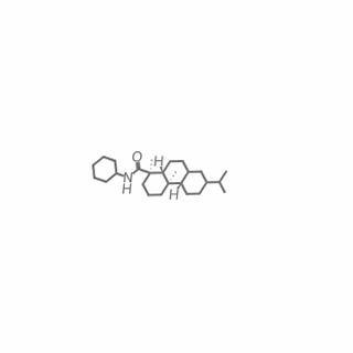 CC(C)C1CC[C@H]2C(CC[C@@H]3[C@]2(C)CCC[C@@]3(C)C(=O)NC2CCCCC2)C1